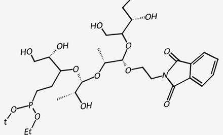 CCOP(CCC(O[C@H](O[C@H](C)[C@@H](OCCN1C(=O)c2ccccc2C1=O)OC(CO)[C@@H](O)CO)[C@@H](C)O)[C@@H](O)CO)OCC